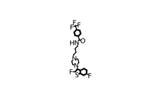 O=C(NCCCCN1CCN(c2c(F)sc3cc(F)ccc23)CC1)c1ccc(C(F)(F)F)cc1